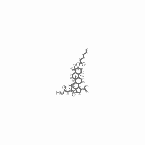 CCCCCC(=O)O[C@@H]1CC[C@@]2(C)C(CC[C@]3(C)C2CCC2C4[C@H](C(C)C)CC[C@]4(C(=O)NCC(=O)O)CC[C@]23C)C1(C)C